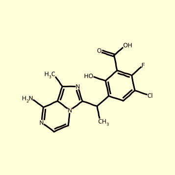 Cc1nc(C(C)c2cc(Cl)c(F)c(C(=O)O)c2O)n2ccnc(N)c12